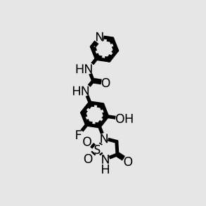 O=C1CN(c2c(O)cc(NC(=O)Nc3cccnc3)cc2F)S(=O)(=O)N1